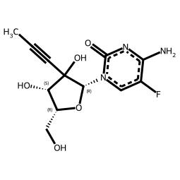 CC#CC1(O)[C@@H](O)[C@@H](CO)O[C@H]1n1cc(F)c(N)nc1=O